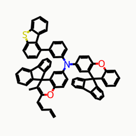 C=C/C=C\C1=C(C)C2(c3cc(N(c4cccc(-c5cccc6sc7ccccc7c56)c4)c4ccc5c(c4)C4(c6ccccc6O5)c5ccccc5-c5ccccc54)ccc3O1)c1ccccc1-c1ccccc12